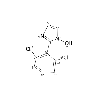 On1ccnc1-c1c(Cl)cccc1Cl